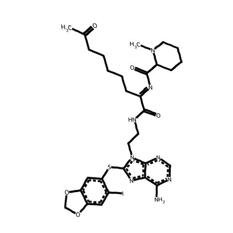 CC(=O)CCCCC/C(=N\C(=O)C1CCCCN1C)C(=O)NCCn1c(Sc2cc3c(cc2I)OCO3)nc2c(N)ncnc21